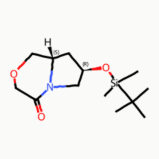 CC(C)(C)[Si](C)(C)O[C@@H]1C[C@H]2COCC(=O)N2C1